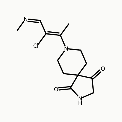 C/N=C\C(Cl)=C(/C)N1CCC2(CC1)C(=O)CNC2=O